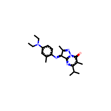 CCN(CC)c1ccc(N=C2C(C)=Nn3c2nc(C(C)C)c(C)c3=O)c(C)c1